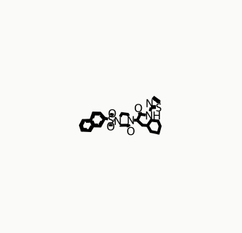 O=C(Nc1nccs1)C(CC1CCCCC1)N1CCN(S(=O)(=O)c2ccc3ccccc3c2)CC1=O